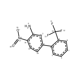 Nc1nc(-c2ccccc2C(F)(F)F)ccc1[N+](=O)[O-]